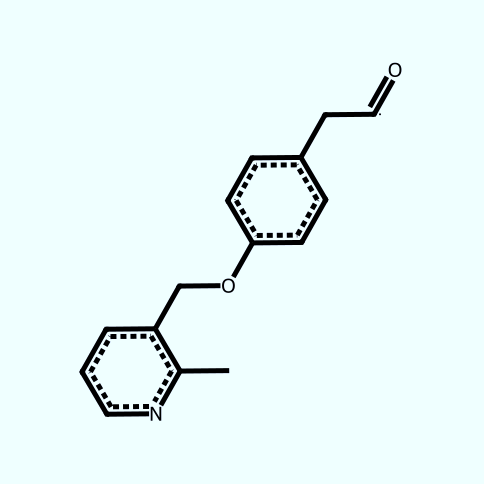 Cc1ncccc1COc1ccc(C[C]=O)cc1